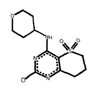 O=S1(=O)CCCc2nc(Cl)nc(NC3CCOCC3)c21